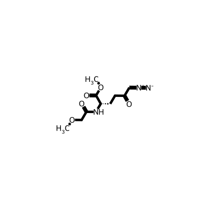 COCC(=O)N[C@@H](CCC(=O)C=[N+]=[N-])C(=O)OC